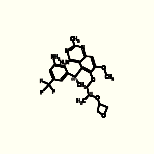 COc1cc2nc(C)nc(N)c2c([C@H](C)c2cc(N)cc(C(F)(F)F)c2)c1OC[C@H](C)OC1COC1